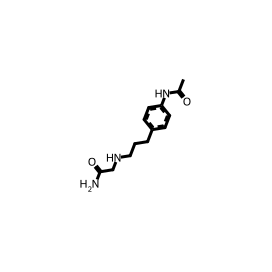 CC(=O)Nc1ccc(CCCNCC(N)=O)cc1